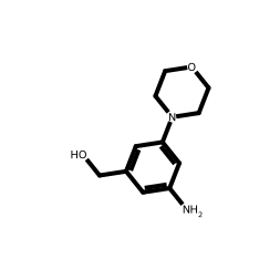 Nc1cc(CO)cc(N2CCOCC2)c1